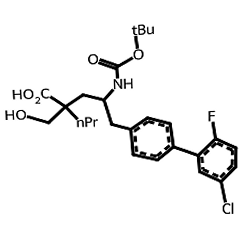 CCCC(CO)(CC(Cc1ccc(-c2cc(Cl)ccc2F)cc1)NC(=O)OC(C)(C)C)C(=O)O